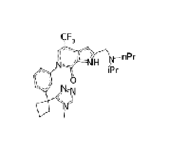 CCCN(Cc1cc2c(C(F)(F)F)cn(-c3cccc(C4(c5nncn5C)CCC4)c3)c(=O)c2[nH]1)C(C)C